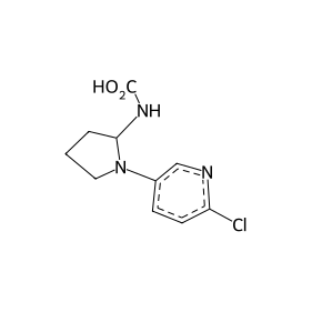 O=C(O)NC1CCCN1c1ccc(Cl)nc1